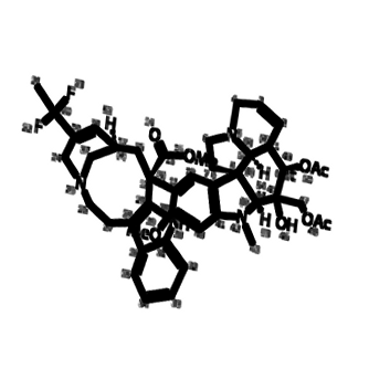 CC[C@]12C=CCN3CC[C@@]4(c5cc([C@@]6(C(=O)OC)C[C@@H]7C=C(C(C)(F)F)CN(CCc8c6[nH]c6ccccc86)C7)c(OC)cc5N(C)[C@H]4C(O)(COC(C)=O)[C@@H]1OC(C)=O)[C@@H]32